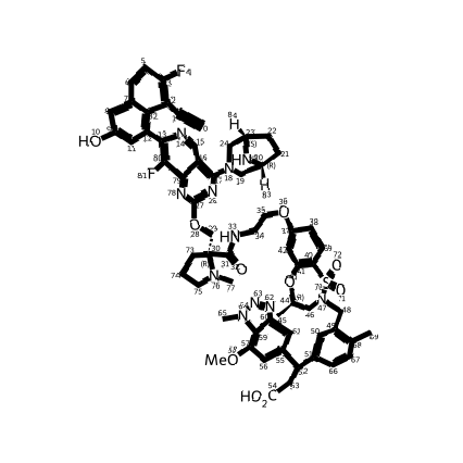 C#Cc1c(F)ccc2cc(O)cc(-c3ncc4c(N5C[C@H]6CC[C@@H](C5)N6)nc(OC[C@@]5(C(=O)NCCOc6ccc7c(c6)O[C@H](C)CN(Cc6cc(C(CC(=O)O)c8cc(OC)c9c(c8)nnn9C)ccc6C)S7(=O)=O)CCCN5C)nc4c3F)c12